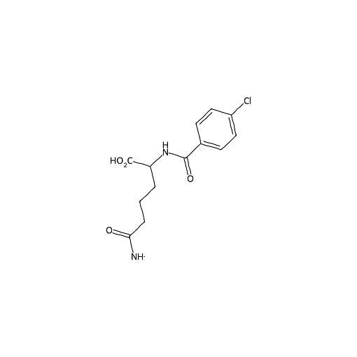 [NH]C(=O)CCCC(NC(=O)c1ccc(Cl)cc1)C(=O)O